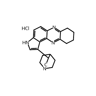 Cl.c1[nH]c2ccc3nc4c(nc3c2c1C1CN2CCC1CC2)CCCC4